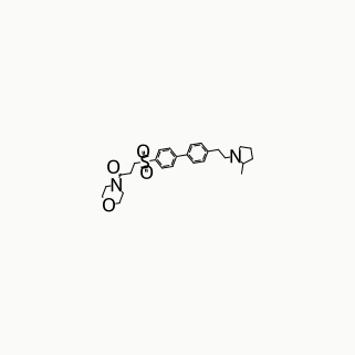 CC1CCCN1CCc1ccc(-c2ccc(S(=O)(=O)CCC(=O)N3CCOCC3)cc2)cc1